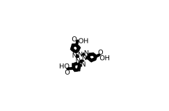 O=C(O)c1ccc2c(c1)nc1n2c2nc3ccc(C(=O)O)cc3n2c2nc3ccc(C(=O)O)cc3n12